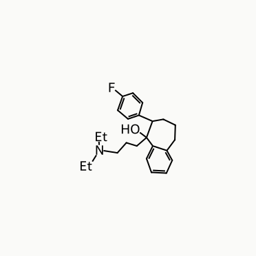 CCN(CC)CCCC1(O)c2ccccc2CCCC1c1ccc(F)cc1